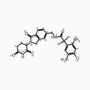 Bc1cc(C(F)(F)C(=O)NCc2ccc3c(c2)CN(C2CCC(=O)NC2=O)C3=O)c(B)cc1Cl